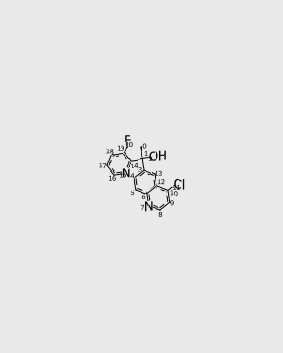 C[C@@](O)(c1ccc2nccc(Cl)c2c1)c1ncccc1F